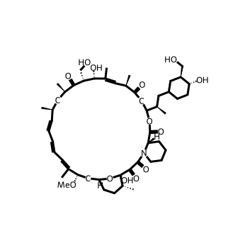 CO[C@H]1C[C@@H]2CC[C@@H](C)[C@@](O)(O2)C(=O)C(=O)N2CCCC[C@H]2C(=O)OC([C@H](C)CC2CC[C@@H](O)[C@H](CO)C2)CC(=O)[C@H](C)/C=C(\C)[C@@H](O)[C@@H](CO)C(=O)[C@H](C)C[C@H](C)/C=C/C=C/C=C/1C